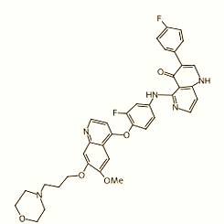 COc1cc2c(Oc3ccc(Nc4nccc5[nH]cc(-c6ccc(F)cc6)c(=O)c45)cc3F)ccnc2cc1OCCCN1CCOCC1